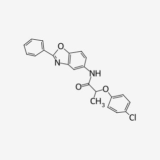 CC(Oc1ccc(Cl)cc1)C(=O)Nc1ccc2oc(-c3ccccc3)nc2c1